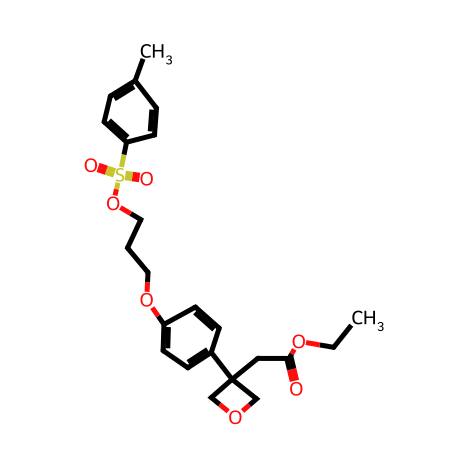 CCOC(=O)CC1(c2ccc(OCCCOS(=O)(=O)c3ccc(C)cc3)cc2)COC1